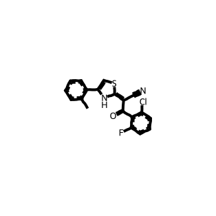 Cc1ccccc1C1=CS/C(=C(\C#N)C(=O)c2c(F)cccc2Cl)N1